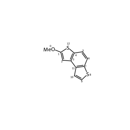 COc1cc2c(ccc3sccc32)s1